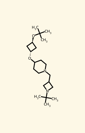 CC(C)(C)O[C@H]1C[C@H](OC2CCN(CC3CN(C(C)(C)C)C3)CC2)C1